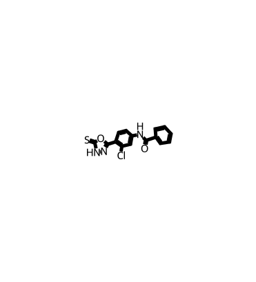 O=C(Nc1ccc(-c2n[nH]c(=S)o2)c(Cl)c1)c1ccccc1